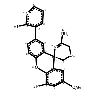 COc1cc(F)c2c(c1)[C@]1(COCC(N)=N1)c1cc(-c3cccnc3F)ccc1O2